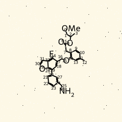 COCC(C)OC(=O)Cc1ccc(C)cc1OCc1cc(-c2cccc(CN)c2)c2occc2c1F